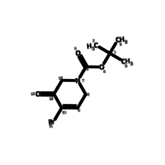 CC(C)(C)OC(=O)N1CC=C(Br)C(=O)C1